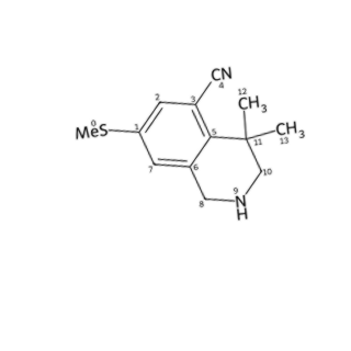 CSc1cc(C#N)c2c(c1)CNCC2(C)C